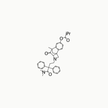 CC(C)C(=O)Oc1ccc2c(c1)C1(C)CC23CN(CCC(C(=O)N(C)C)(c2ccccc2)c2ccccc2)C3C1=O